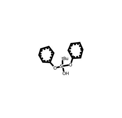 CC(C)(C)[Si](O)(Oc1ccccc1)Oc1ccccc1